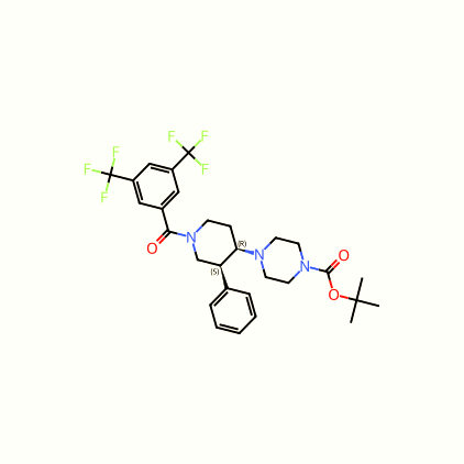 CC(C)(C)OC(=O)N1CCN([C@@H]2CCN(C(=O)c3cc(C(F)(F)F)cc(C(F)(F)F)c3)C[C@@H]2c2ccccc2)CC1